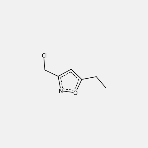 CCc1cc(CCl)no1